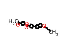 C=CC(=O)c1ccc(OC(=O)c2ccc(-c3ccc4c(c3)CCC(OCCCCC)C4)cc2)cc1